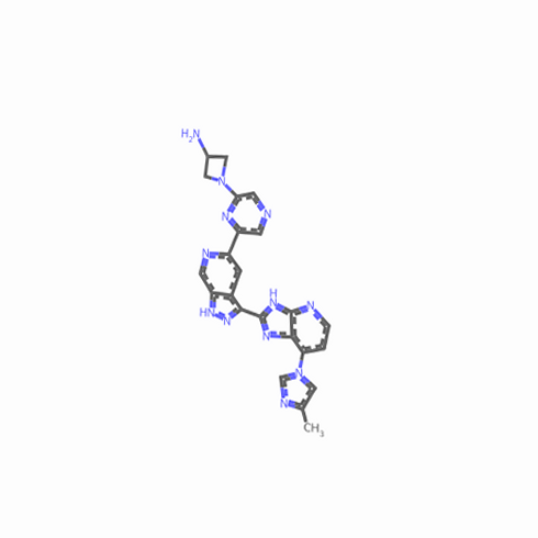 Cc1cn(-c2ccnc3[nH]c(-c4n[nH]c5cnc(-c6cncc(N7CC(N)C7)n6)cc45)nc23)cn1